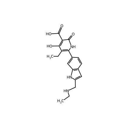 CCNCc1cc2ccc(-c3[nH]c(=O)c(C(=O)O)c(O)c3CC)cc2[nH]1